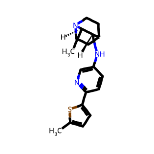 Cc1ccc(-c2ccc(N[C@H]3C4CCN(CC4)[C@@H]3C)cn2)s1